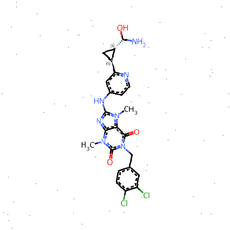 Cn1c(Nc2ccnc([C@H]3C[C@@H]3C(N)O)c2)nc2c1c(=O)n(Cc1ccc(Cl)c(Cl)c1)c(=O)n2C